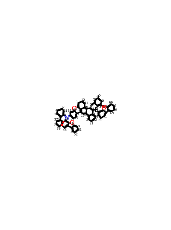 Cc1cc(C)c(B(c2cc3c4cccc5c4c(cc3c3ccccc23)-c2ccc(N(c3ccccc3-c3ccccc3)c3cccc4c3oc3ccccc34)cc2O5)c2cccc3c2oc2ccccc23)c(C)c1